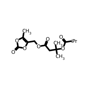 Cc1oc(=O)oc1COC(=O)CC(C)(C)OC(=O)C(C)C